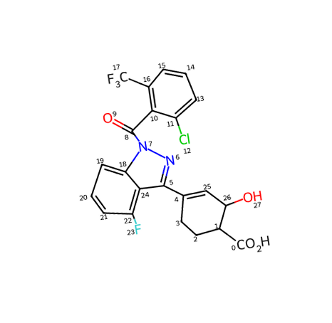 O=C(O)C1CCC(c2nn(C(=O)c3c(Cl)cccc3C(F)(F)F)c3cccc(F)c23)=CC1O